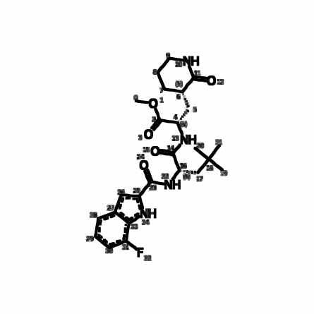 COC(=O)[C@H](C[C@@H]1CCCNC1=O)NC(=O)[C@H](CC(C)(C)C)NC(=O)c1cc2cccc(F)c2[nH]1